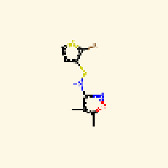 Cc1onc(NSc2ccsc2Br)c1C